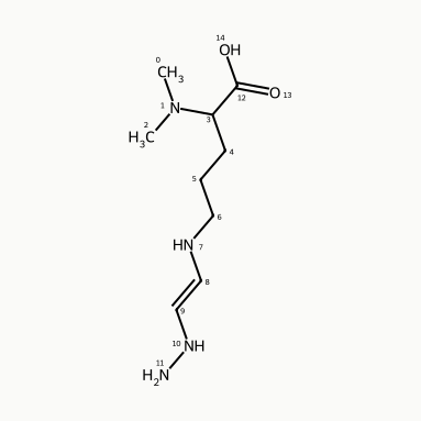 CN(C)C(CCCN/C=C/NN)C(=O)O